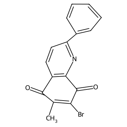 CC1=C(Br)C(=O)c2nc(-c3ccccc3)ccc2C1=O